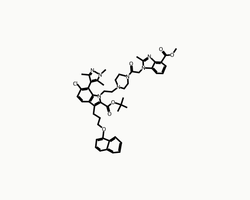 COC(=O)c1cccc2c1nc(C)n2CC(=O)N1CCN(CCn2c(C(=O)OC(C)(C)C)c(CCCOc3cccc4ccccc34)c3ccc(Cl)c(-c4c(C)nn(C)c4C)c32)CC1